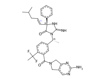 CC(C)C/C=C/[C@]1(c2ccccc2)NC(=N)N([C@H](C)c2ccc(C(C)(F)F)c(C(=O)N3Cc4cnc(N)nc4C3)c2)C1=O